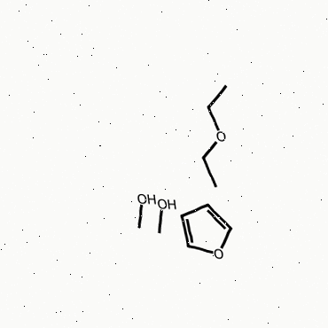 CCOCC.CO.CO.c1ccoc1